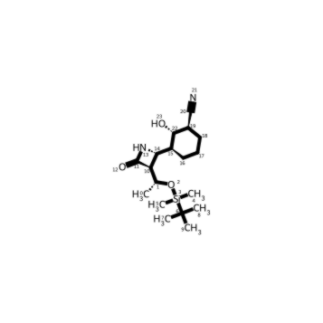 C[C@@H](O[Si](C)(C)C(C)(C)C)[C@H]1C(=O)N[C@@H]1[C@@H]1CCC[C@H](C#N)[C@H]1O